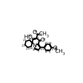 COc1ccc(-c2ccn3c2C(=O)C(C(C)=O)=C(O)C32CCCCC2)cc1